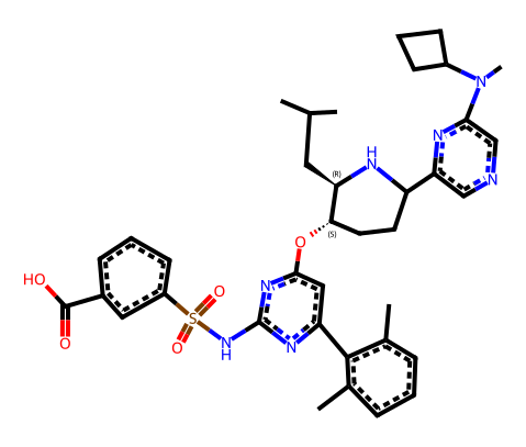 Cc1cccc(C)c1-c1cc(O[C@H]2CCC(c3cncc(N(C)C4CCC4)n3)N[C@@H]2CC(C)C)nc(NS(=O)(=O)c2cccc(C(=O)O)c2)n1